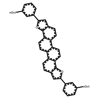 CCCCCCCCc1cccc(-c2cc3ccc4c5ccc6c(ccc7cc(-c8cccc(CCCCCCCC)c8)oc76)c5ccc4c3o2)c1